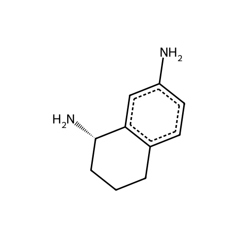 Nc1ccc2c(c1)[C@@H](N)CCC2